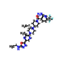 CCNc1nnc(-c2cnc(N3CCN(C4CCN(C(=O)c5ccc(C(F)(F)F)nc5N)CC4)[C@@H](CC)C3)c(C)n2)o1